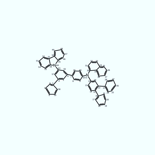 c1ccc(-c2cc(-c3ccc(N(c4ccc(-c5ccccc5)c(-c5ccccc5)c4)c4cccc5ccccc45)cc3)cc(-n3c4ccccc4c4ccccc43)c2)cc1